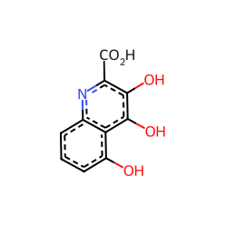 O=C(O)c1nc2cccc(O)c2c(O)c1O